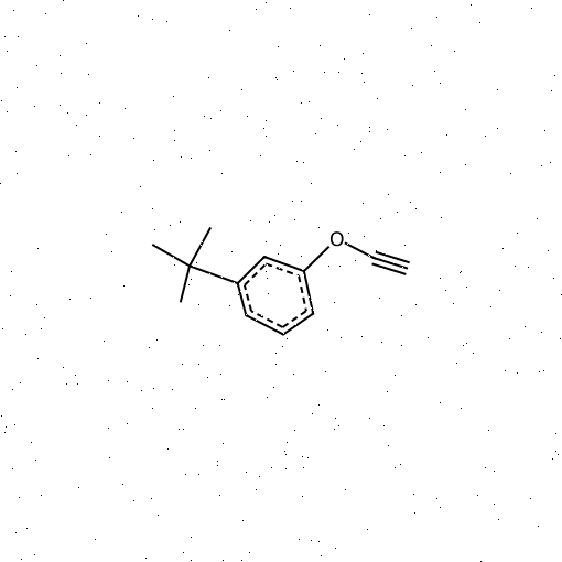 C#COc1cccc(C(C)(C)C)c1